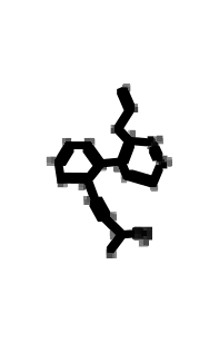 C=CCc1nnccc1-c1ccccc1C#CC(C)O